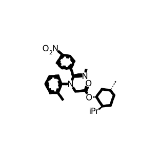 C/N=C(\c1ccc([N+](=O)[O-])cc1)N(CC(=O)O[C@@H]1C[C@H](C)CC[C@H]1C(C)C)c1ccccc1C